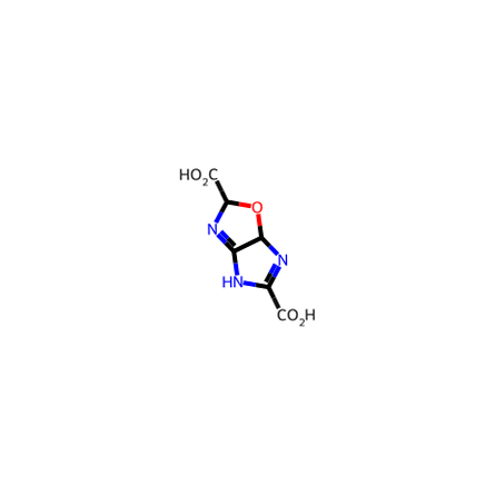 O=C(O)C1=NC2OC(C(=O)O)N=C2N1